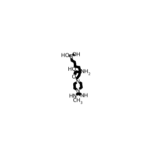 CNC(=N)N1CCN(CCC(N)(CCCCB(O)O)C(=O)O)CC1